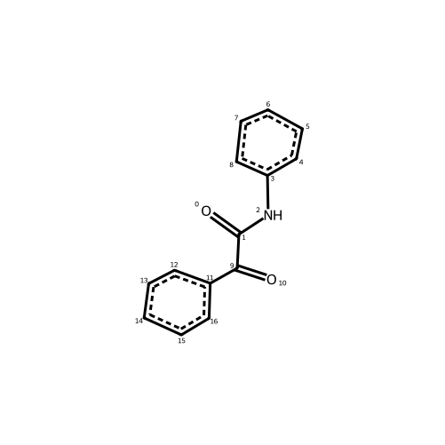 O=C(Nc1ccccc1)C(=O)c1ccccc1